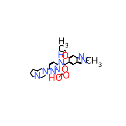 CCOc1cc2nn(C)cc2cc1C(=O)Nc1ccc(N2CCN3CCCC3C2)nn1.O=CO